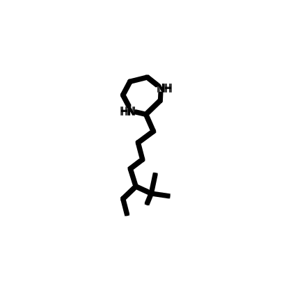 CCC(CCCCC1CNCCCN1)C(C)(C)C